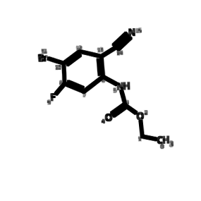 CCOC(=O)Nc1cc(F)c(Br)cc1C#N